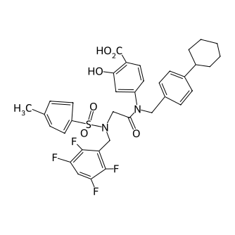 Cc1ccc(S(=O)(=O)N(CC(=O)N(Cc2ccc(C3CCCCC3)cc2)c2ccc(C(=O)O)c(O)c2)Cc2c(F)c(F)cc(F)c2F)cc1